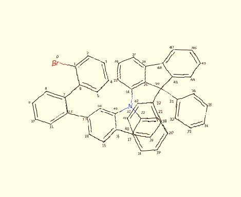 Brc1ccccc1-c1ccccc1-c1ccc2c3ccccc3n(-c3cccc4c3C(c3ccccc3)(c3ccccc3)c3ccccc3-4)c2c1